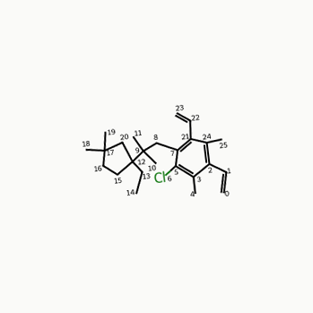 C=Cc1c(C)c(Cl)c(CC(C)(C)C2(CC)CCC(C)(C)C2)c(C=C)c1C